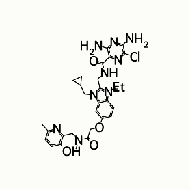 CC[n+]1c(CNC(=O)c2nc(Cl)c(N)nc2N)n(CC2CC2)c2cc(OCC(=O)N(C)Cc3nc(C)ccc3O)ccc21